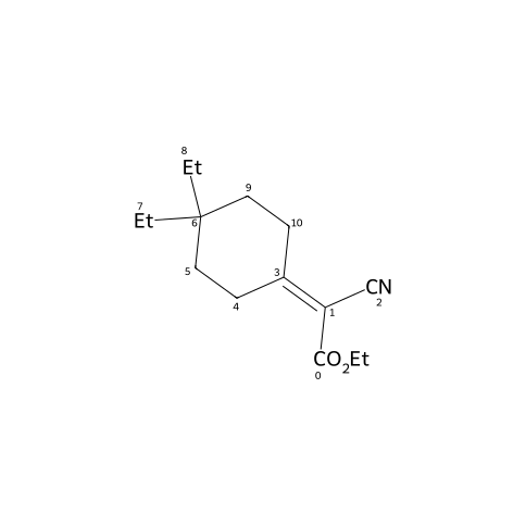 CCOC(=O)C(C#N)=C1CCC(CC)(CC)CC1